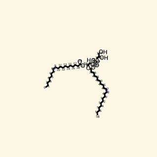 CCCCCCCC/C=C\CCCCCCCCCC(=O)OC[C@H](COP(=O)(O)OC[C@@H](O)CO)OC(=O)CCCCCCCCC/C=C\CCCCCCCCCC